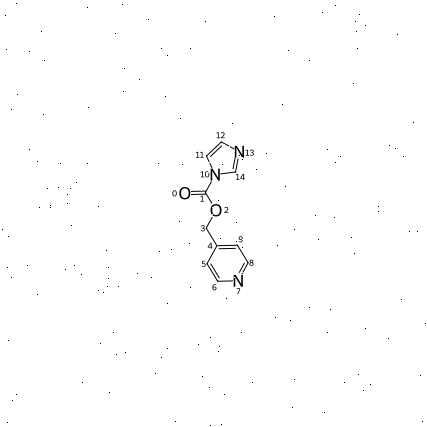 O=C(OCc1ccncc1)n1ccnc1